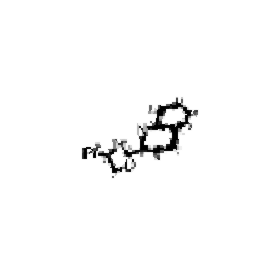 CC(C)C1COC(c2ccc3ccccc3n2)=N1